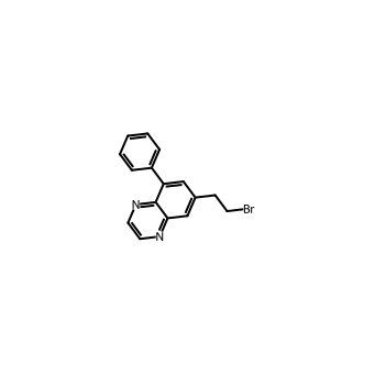 BrCCc1cc(-c2ccccc2)c2nccnc2c1